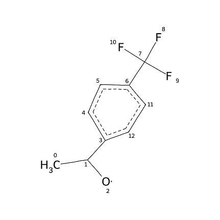 CC([O])c1ccc(C(F)(F)F)cc1